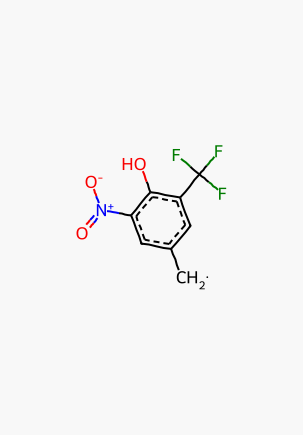 [CH2]c1cc([N+](=O)[O-])c(O)c(C(F)(F)F)c1